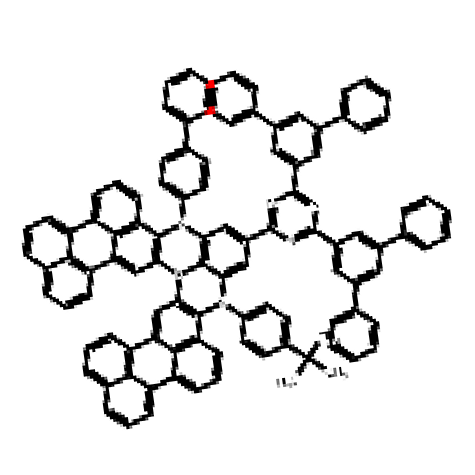 CC(C)(C)c1ccc(N2c3cc(-c4nc(-c5cc(-c6ccccc6)cc(-c6ccccc6)c5)nc(-c5cc(-c6ccccc6)cc(-c6ccccc6)c5)n4)cc4c3B(c3cc5c6cccc7cccc(c8cccc(c3N4c3ccc(-c4ccccc4)cc3)c85)c76)c3cc4c5cccc6cccc(c7cccc(c32)c74)c65)cc1